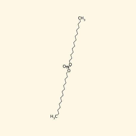 CCCCCCCCCCCCCCCO[N+](=O)OCCCCCCCCCCCCCCC